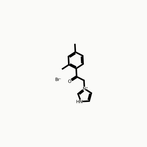 Cc1ccc(C(=O)C[n+]2cc[nH]c2)c(C)c1.[Br-]